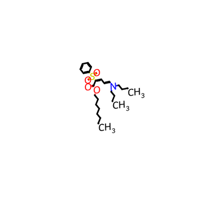 CCCCCCCCOC(=O)/C(=C\C=C\N(CCCC)CCCC)S(=O)(=O)c1ccccc1